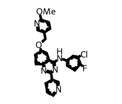 COc1ccc(COc2ccc3nc(-c4cccnc4)nc(Nc4ccc(F)c(Cl)c4)c3c2)cn1